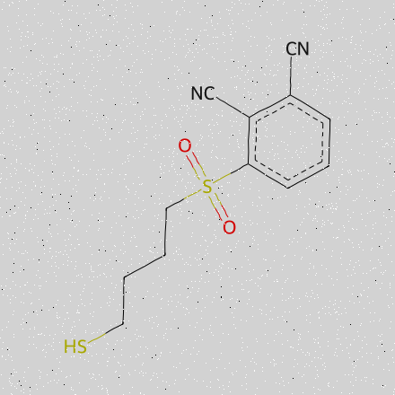 N#Cc1cccc(S(=O)(=O)CCCCS)c1C#N